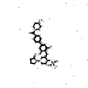 CC(C)[Si](OC1CCN(N2CCCC2=O)CC1Cc1c(Cl)cc(-c2ccc(C(=O)N3CCC(C(F)(F)F)CC3)cc2)cc1Cl)(C(C)C)C(C)C